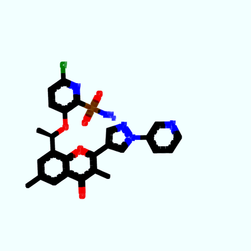 Cc1cc([C@@H](C)Oc2ccc(Cl)nc2S(N)(=O)=O)c2oc(-c3cnn(-c4cccnc4)c3)c(C)c(=O)c2c1